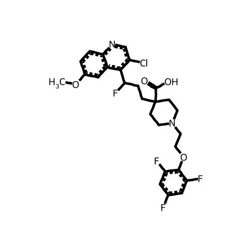 COc1ccc2ncc(Cl)c(C(F)CCC3(C(=O)O)CCN(CCOc4c(F)cc(F)cc4F)CC3)c2c1